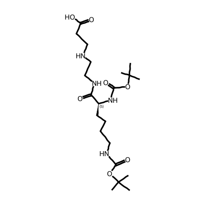 CC(C)(C)OC(=O)NCCCC[C@H](NC(=O)OC(C)(C)C)C(=O)NCCNCCC(=O)O